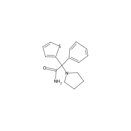 NC(=O)C(c1ccccc1)(c1cccs1)N1CCCC1